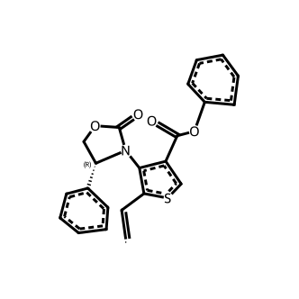 [CH]=Cc1scc(C(=O)Oc2ccccc2)c1N1C(=O)OC[C@H]1c1ccccc1